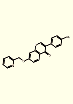 O=c1c(-c2ccc(O)cc2)coc2cc(OCc3ccccn3)ccc12